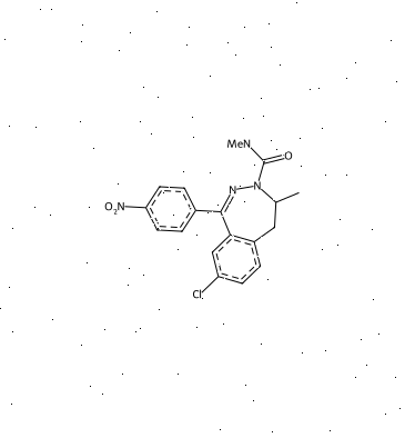 CNC(=O)N1N=C(c2ccc([N+](=O)[O-])cc2)c2cc(Cl)ccc2CC1C